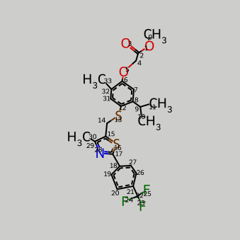 COC(=O)COc1cc(C(C)C)c(SCc2sc(-c3ccc(C(F)(F)F)cc3)nc2C)cc1C